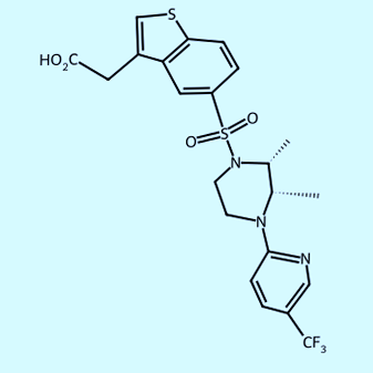 C[C@@H]1[C@H](C)N(c2ccc(C(F)(F)F)cn2)CCN1S(=O)(=O)c1ccc2scc(CC(=O)O)c2c1